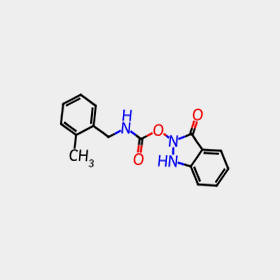 Cc1ccccc1CNC(=O)On1[nH]c2ccccc2c1=O